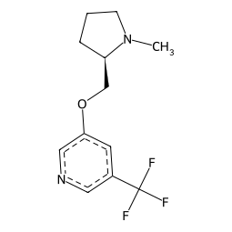 CN1CCC[C@@H]1COc1cncc(C(F)(F)F)c1